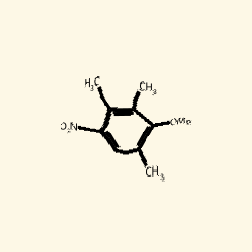 COc1c(C)cc([N+](=O)[O-])c(C)c1C